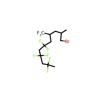 CC(CBr)CC(CC(F)(F)CC(F)(F)CC(C)(F)F)C(F)(F)F